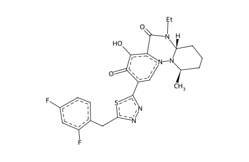 CCN1C(=O)c2c(O)c(=O)c(-c3nnc(Cc4ccc(F)cc4F)s3)cn2N2[C@H](C)CCC[C@@H]12